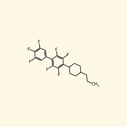 CCCC1CCC(c2c(F)c(F)c(-c3cc(F)c(F)c(F)c3)c(F)c2F)CC1